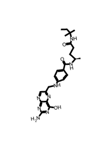 CCC(C)(C)NC(=O)CC[C@@H](C)NC(=O)c1ccc(NCc2cnc3nc(N)nc(O)c3n2)cc1